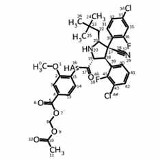 COc1cc(C(=O)OCOC(C)=O)ccc1[AsH]C(=O)[C@@H]1N[C@@H](CC(C)(C)C)[C@](C#N)(c2ccc(Cl)cc2F)[C@H]1c1cccc(Cl)c1F